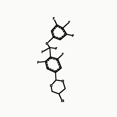 CCC1COC(c2cc(F)c(C(F)(F)Oc3cc(F)c(F)c(F)c3)c(F)c2)OC1